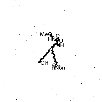 C=C(O)CCCCCCCN(CCCCCCCC(=O)OCCCCCCCCC)CCCC(=N)c1c(NCCOC)c(=O)c1=O